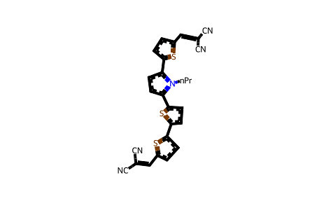 CCCn1c(-c2ccc(C=C(C#N)C#N)s2)ccc1-c1ccc(-c2ccc(C=C(C#N)C#N)s2)s1